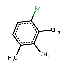 Cc1[c]cc(Br)c(C)c1C